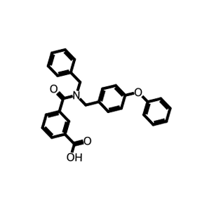 O=C(O)c1cccc(C(=O)N(Cc2ccccc2)Cc2ccc(Oc3ccccc3)cc2)c1